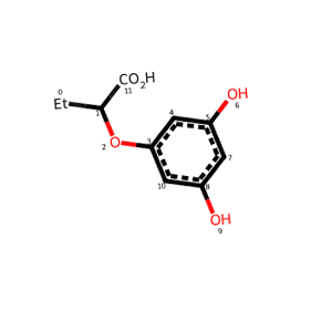 CCC(Oc1cc(O)cc(O)c1)C(=O)O